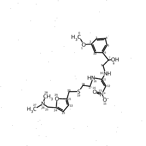 COc1cccc(C(O)CNC(=C[N+](=O)[O-])NCCSCc2ccc(CN(C)C)o2)c1